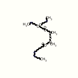 CC/C=C\CCCCOC(CCCC(=O)OCCCN(C)CCSSCCN(C)CCCOC(=O)CCCCCCC/C=C\C/C=C\CCCCC)OCCCC/C=C\CC